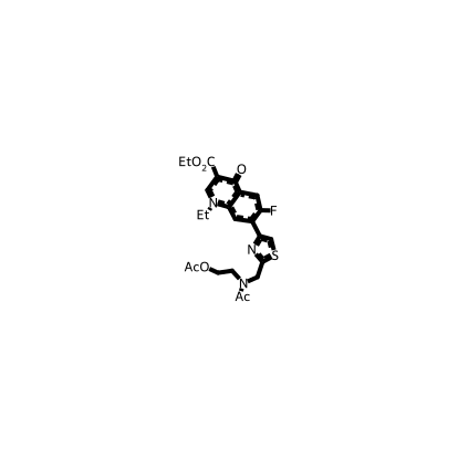 CCOC(=O)c1cn(CC)c2cc(-c3csc(CN(CCOC(C)=O)C(C)=O)n3)c(F)cc2c1=O